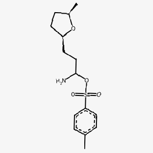 Cc1ccc(S(=O)(=O)OC(N)CC[C@H]2CC[C@@H](C)O2)cc1